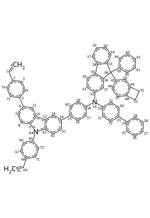 C=Cc1ccc(-c2ccc3c(c2)c2cc(-c4ccc(N(c5ccc(-c6ccccc6)cc5)c5ccc6c(c5)C(c5ccccc5)(c5ccc7c(c5)CC7)c5ccccc5-6)cc4)ccc2n3-c2ccc(C=C)cc2)cc1